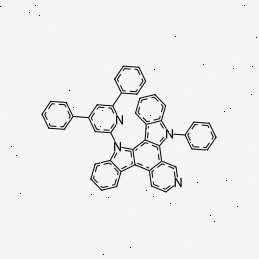 c1ccc(-c2cc(-c3ccccc3)nc(-n3c4ccccc4c4c5ccncc5c5c(c6ccccc6n5-c5ccccc5)c43)c2)cc1